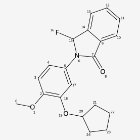 COc1ccc(N2C(=O)c3ccccc3C2F)cc1OC1CCCC1